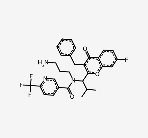 CC(C)C(c1oc2cc(F)ccc2c(=O)c1Cc1ccccc1)N(CCCN)C(=O)c1ccc(C(F)(F)F)nc1